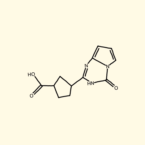 O=C(O)C1CCC(c2nc3cccn3c(=O)[nH]2)C1